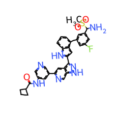 CS(=O)(=O)C(N)c1cc(F)cc(-c2cccc3[nH]c(-c4n[nH]c5cnc(-c6cncc(NC(=O)C7CCC7)c6)cc45)cc23)c1